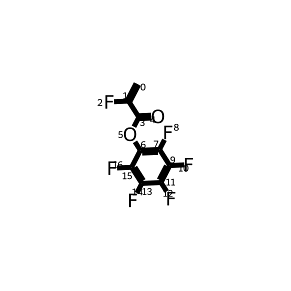 C=C(F)C(=O)Oc1c(F)c(F)c(F)c(F)c1F